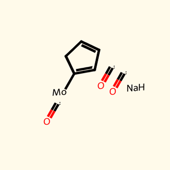 [C]=O.[C]=O.[C]=O.[Mo][C]1=CC=CC1.[NaH]